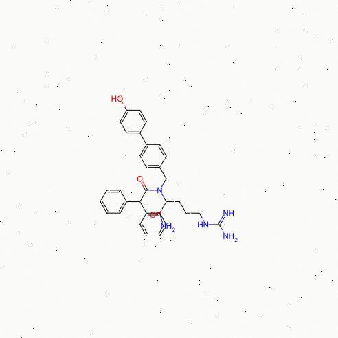 N=C(N)NCCCC(C(N)=O)N(Cc1ccc(-c2ccc(O)cc2)cc1)C(=O)C(c1ccccc1)c1ccccc1